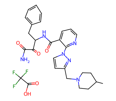 CC1CCN(Cc2ccn(-c3ncccc3C(=O)NC(Cc3ccccc3)C(=O)C(N)=O)n2)CC1.O=C(O)C(F)(F)F